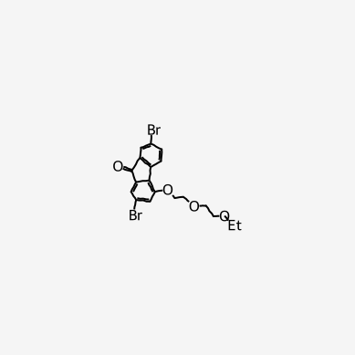 CCOCCOCCOc1cc(Br)cc2c1-c1ccc(Br)cc1C2=O